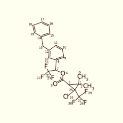 CC1(C)C(C(=O)OC(c2cccc(Cc3ccccc3)c2)C(F)(F)F)C1(Cl)C(F)(F)F